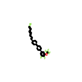 FCCC=CCCC[C@H]1CC[C@H]([C@H]2CC[C@H](c3cc(F)c(F)c(OC(F)(F)F)c3)CC2)CC1